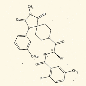 COc1cccc(N2C(=O)N(C)C(=O)C23CCN(C(=O)[C@H](NC(=O)c2cc(C)ccc2F)C(C)C)CC3)c1